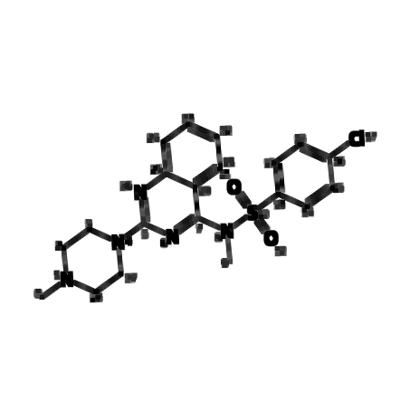 CN1CCN(c2nc(N(C)S(=O)(=O)c3ccc(Cl)cc3)c3ccccc3n2)CC1